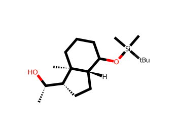 C[C@H](O)[C@H]1CC[C@H]2C(O[Si](C)(C)C(C)(C)C)CCC[C@]12C